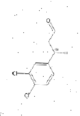 C[C@@H](CC=O)c1ccc(Cl)c(Cl)c1